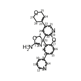 NC1=N[C@@]2(CO1)c1cc(-c3cccnc3)ccc1Oc1ncc(C3=CCOCC3)cc12